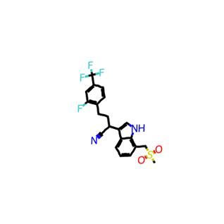 CS(=O)(=O)Cc1cccc2c(C(C#N)CCc3ccc(C(F)(F)F)cc3F)c[nH]c12